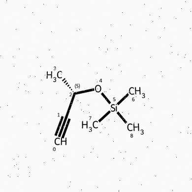 C#C[C@H](C)O[Si](C)(C)C